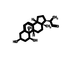 CC(C=O)[C@H]1CC[C@H]2C3=CC=C4C[C@H](O)C[C@H](O)[C@]4(C)[C@H]3CC[C@]12C